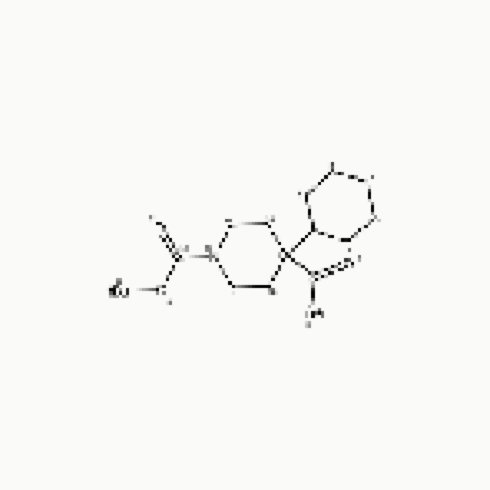 CCCC(=O)C1(C2CCCCC2)CCN(C(=O)OC(C)(C)C)CC1